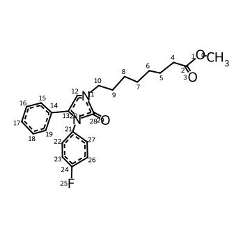 COC(=O)CCCCCCCn1cc(-c2ccccc2)n(-c2ccc(F)cc2)c1=O